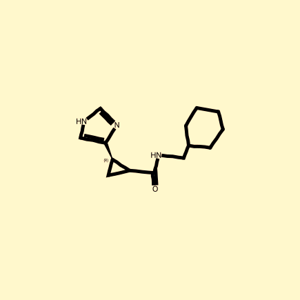 O=C(NCC1CCCCC1)C1C[C@H]1c1c[nH]cn1